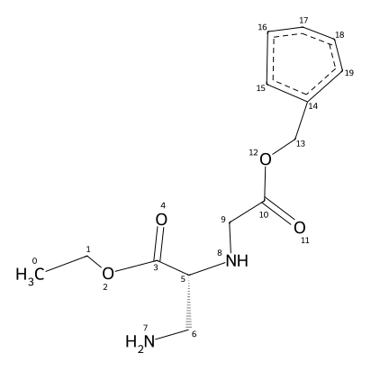 CCOC(=O)[C@@H](CN)NCC(=O)OCc1ccccc1